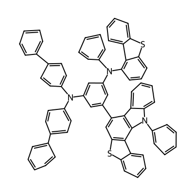 c1ccc(-c2ccc(N(c3ccc(-c4ccccc4)cc3)c3cc(-c4cc5sc6ccccc6c5c5c4c4ccccc4n5-c4ccccc4)cc(N(c4ccccc4)c4cccc5sc6ccccc6c45)c3)cc2)cc1